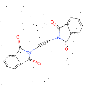 O=C1c2ccccc2C(=O)N1C#CN1C(=O)c2ccccc2C1=O